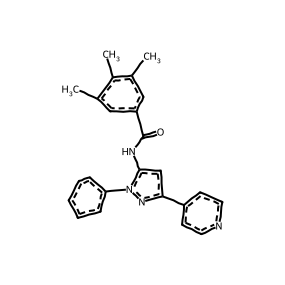 Cc1cc(C(=O)Nc2cc(-c3ccncc3)nn2-c2ccccc2)cc(C)c1C